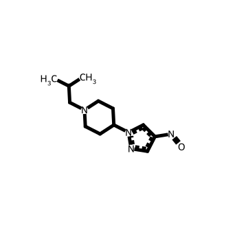 C[C](C)CN1CCC(n2cc(N=O)cn2)CC1